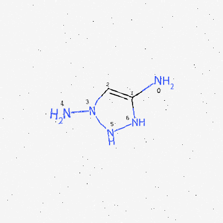 NC1=CN(N)NN1